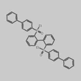 CCP(=O)(c1ccc(-c2ccccc2)cc1)c1ccccc1-c1ccccc1P(=O)(CC)c1ccc(-c2ccccc2)cc1